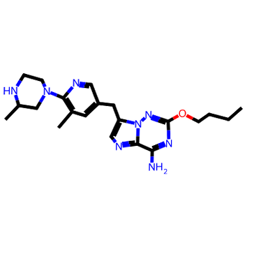 CCCCOc1nc(N)c2ncc(Cc3cnc(N4CCNC(C)C4)c(C)c3)n2n1